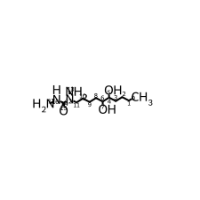 CCCCC(O)C(O)CCCCN(N)C(=O)NN